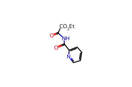 CCOC(=O)C(=O)NC(=O)c1ccccn1